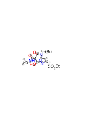 CCOC(=O)Cc1cc2n(CC(C)(C)C)c(=O)c(C(=O)NC3CC3)c(O)n2n1